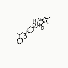 Cc1sc2ncn(CC3(O)CCN(C(=O)CC(C)c4ccccc4)CC3)c(=O)c2c1C